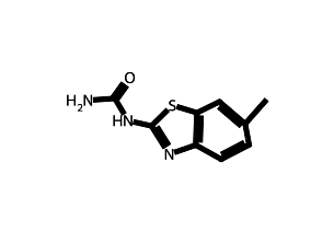 Cc1ccc2nc(NC(N)=O)sc2c1